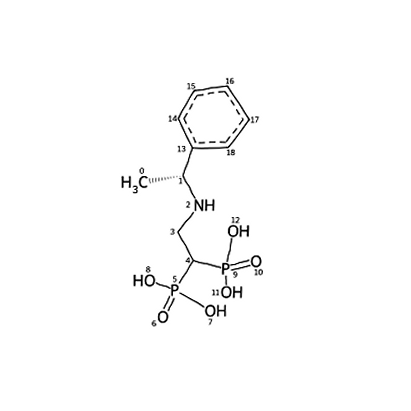 C[C@@H](NCC(P(=O)(O)O)P(=O)(O)O)c1ccccc1